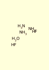 F.F.N.N.N.O